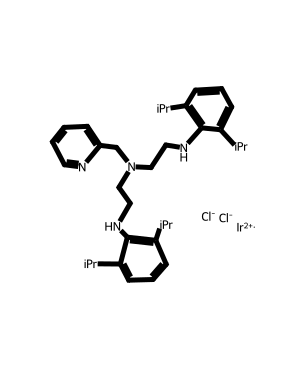 CC(C)c1cccc(C(C)C)c1NCCN(CCNc1c(C(C)C)cccc1C(C)C)Cc1ccccn1.[Cl-].[Cl-].[Ir+2]